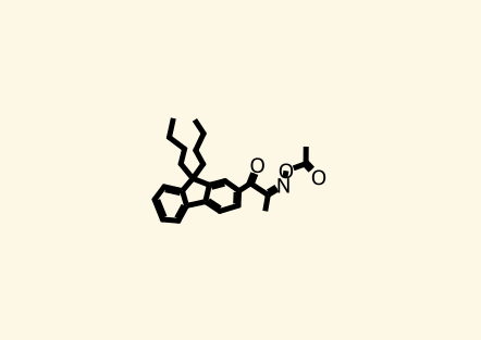 CCCCC1(CCCC)c2ccccc2-c2ccc(C(=O)/C(C)=N\OC(C)=O)cc21